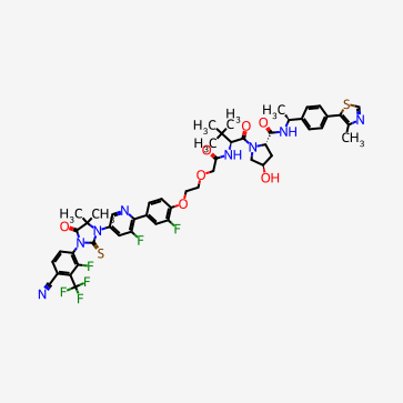 Cc1ncsc1-c1ccc([C@H](C)NC(=O)[C@@H]2C[C@@H](O)CN2C(=O)[C@@H](NC(=O)COCCOc2ccc(-c3ncc(N4C(=S)N(c5ccc(C#N)c(C(F)(F)F)c5F)C(=O)C4(C)C)cc3F)cc2F)C(C)(C)C)cc1